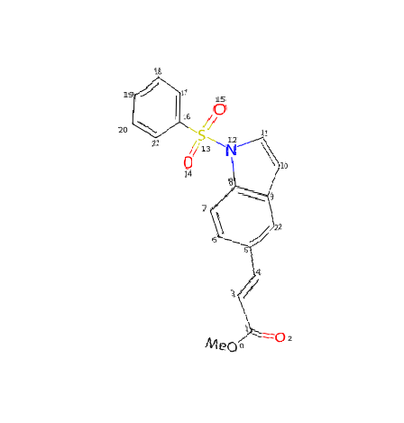 COC(=O)/C=C/c1ccc2c(ccn2S(=O)(=O)c2ccccc2)c1